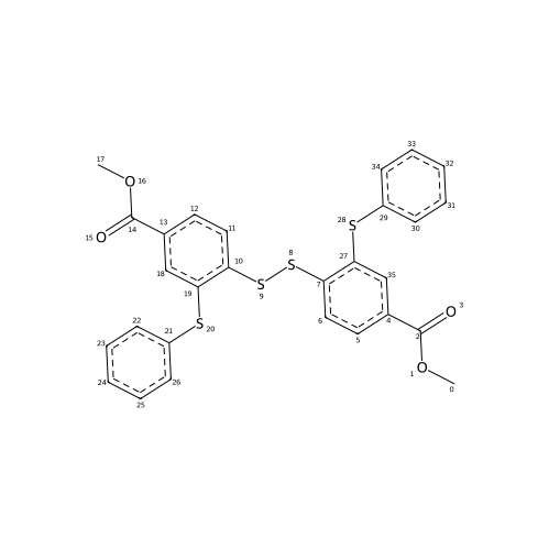 COC(=O)c1ccc(SSc2ccc(C(=O)OC)cc2Sc2ccccc2)c(Sc2ccccc2)c1